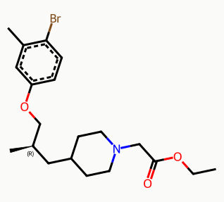 CCOC(=O)CN1CCC(C[C@@H](C)COc2ccc(Br)c(C)c2)CC1